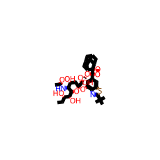 CCC(O)C(O)C1OC(Oc2cc(C3(OC)OOC34C3CC5CC(C3)CC4C5)cc3sc(C(C)(C)C)nc23)(C(=O)O)CC(O)C1NC(C)=O